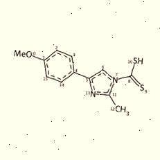 COc1ccc(-c2cn(C(=S)S)c(C)n2)cc1